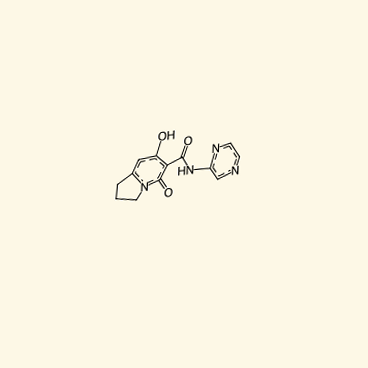 O=C(Nc1cnccn1)c1c(O)cc2n(c1=O)CCC2